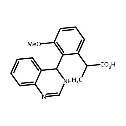 COc1cccc(C(C)C(=O)O)c1C1NC=Nc2ccccc21